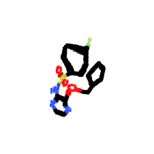 O=S(=O)(Nc1nccnc1OCC1CCCC1)c1ccc(F)cc1